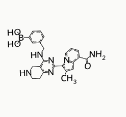 Cc1cc2c(C(N)=O)cccn2c1-c1nc2c(c(NCc3cccc(B(O)O)c3)n1)CNCC2